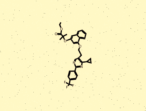 CCOC(=O)C(C)(C)Oc1cc(OCCc2cnc(-c3ccc(C(F)(F)F)cc3)nc2C2CC2)c2ccccc2c1